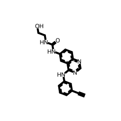 C#Cc1cccc(Nc2ncnc3ccc(NC(=O)NCCO)cc23)c1